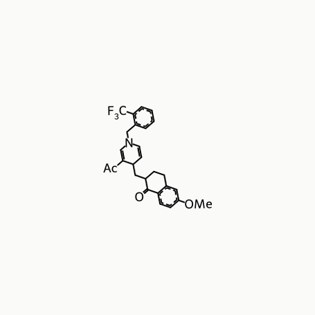 COc1ccc2c(c1)CCC(CC1C=CN(Cc3ccccc3C(F)(F)F)C=C1C(C)=O)C2=O